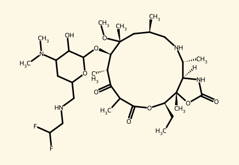 CC[C@H]1OC(=O)C(C)C(=O)[C@H](C)[C@@H](OC2OC(CNCC(F)F)CC(N(C)C)C2O)[C@](C)(OC)C[C@@H](C)CN[C@H](C)[C@H]2NC(=O)O[C@@]21C